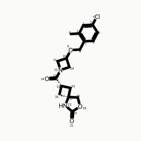 Cc1cc(Cl)ccc1COC1CN(C(=O)[C@H]2C[C@@]3(COC(=O)N3)C2)C1